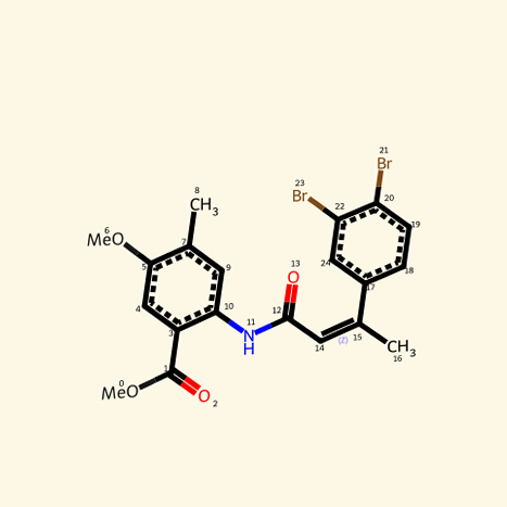 COC(=O)c1cc(OC)c(C)cc1NC(=O)/C=C(/C)c1ccc(Br)c(Br)c1